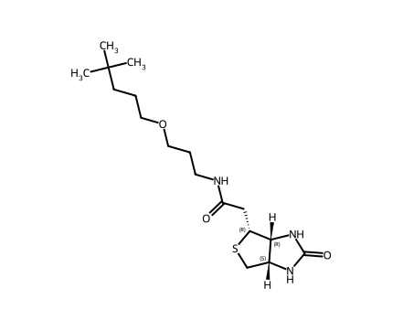 CC(C)(C)CCCOCCCNC(=O)C[C@H]1SC[C@H]2NC(=O)N[C@H]21